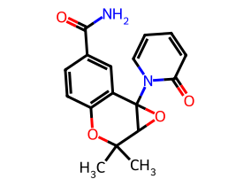 CC1(C)Oc2ccc(C(N)=O)cc2C2(n3ccccc3=O)OC12